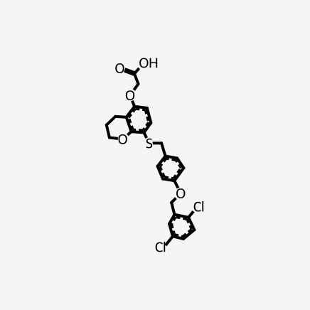 O=C(O)COc1ccc(SCc2ccc(OCc3cc(Cl)ccc3Cl)cc2)c2c1CCCO2